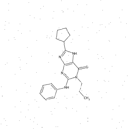 CCCn1c(Nc2ccccc2)nc2nc(C3CCCC3)[nH]c2c1=O